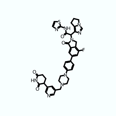 O=C1CCC(c2cncc(CN3CCN(c4ccc(-c5cc(F)c6c(c5)C(=O)N(C(C(=O)Nc5nccs5)c5ncn7c5CCC7)C6)cc4)CC3)c2)C(=O)N1